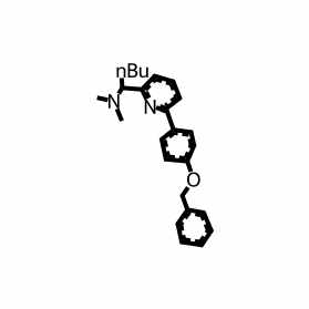 CCCCC(c1cccc(-c2ccc(OCc3ccccc3)cc2)n1)N(C)C